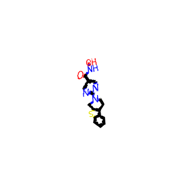 O=C(NO)c1cnc(N2CCc3c(sc4ccccc34)C2)nc1